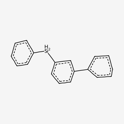 c1ccc([SiH2]c2cccc(-c3ccccc3)c2)cc1